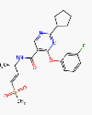 C[C@@H](/C=C/S(C)(=O)=O)NC(=O)c1cnc(C2CCCC2)nc1Oc1cccc(F)c1